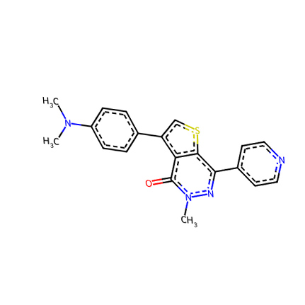 CN(C)c1ccc(-c2csc3c(-c4ccncc4)nn(C)c(=O)c23)cc1